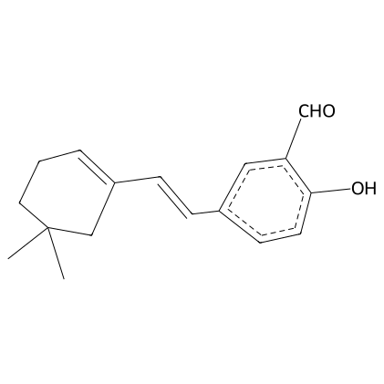 CC1(C)CCC=C(C=Cc2ccc(O)c(C=O)c2)C1